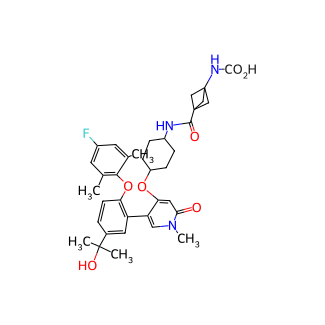 Cc1cc(F)cc(C)c1Oc1ccc(C(C)(C)O)cc1-c1cn(C)c(=O)cc1OC1CCC(NC(=O)C23CC(NC(=O)O)(C2)C3)CC1